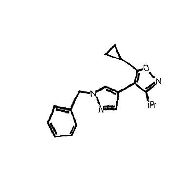 CC(C)c1noc(C2CC2)c1-c1cnn(Cc2ccccc2)c1